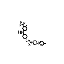 Cc1ccc(N2CCN(C(=S)COC3CCC(Nc4ccc(C)c(C(F)(F)F)c4)CC3)CC2)cc1